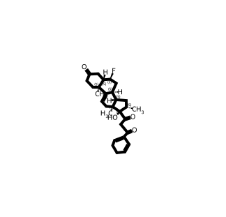 C[C@H]1C[C@H]2[C@@H]3C[C@H](F)[C@H]4CC(=O)CC[C@]4(C)C3=CC[C@]2(C)[C@@]1(O)C(=O)CC(=O)C1=CCCC=C1